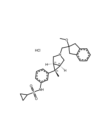 COC1(CN2C[C@@H]3[C@H](C2)[C@@]3(C)c2cccc(NS(=O)(=O)C3CC3)c2)Cc2ccccc2C1.Cl